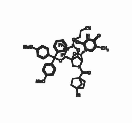 CCC12CCC(C(=O)N3C[C@]4(COC(c5ccccc5)(c5ccc(OC)cc5)c5ccc(OC)cc5)O[C@@H](n5cc(C)c(=O)[nH]c5=O)C3C4OP(OCCC#N)N(C(C)C)C(C)C)(CC1)C2